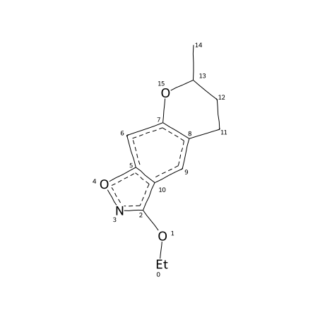 CCOc1noc2cc3c(cc12)CCC(C)O3